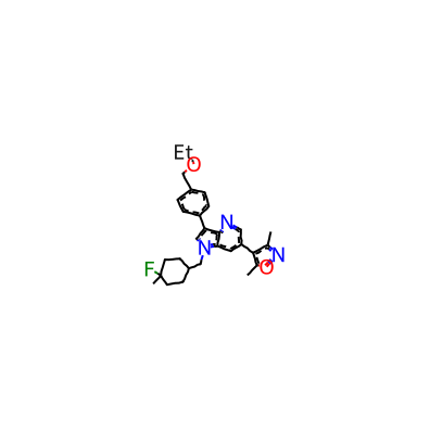 CCOCc1ccc(-c2cn(CC3CCC(C)(F)CC3)c3cc(-c4c(C)noc4C)cnc23)cc1